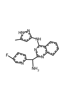 Cc1cc(Nc2nc(C(N)c3ccc(F)cn3)nc3ccccc23)n[nH]1